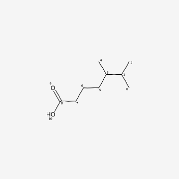 CC(C)C(C)CCCC(=O)O